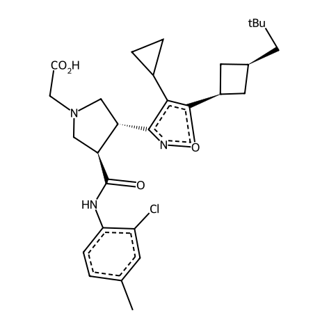 Cc1ccc(NC(=O)[C@H]2CN(CC(=O)O)C[C@@H]2c2noc([C@H]3C[C@@H](CC(C)(C)C)C3)c2C2CC2)c(Cl)c1